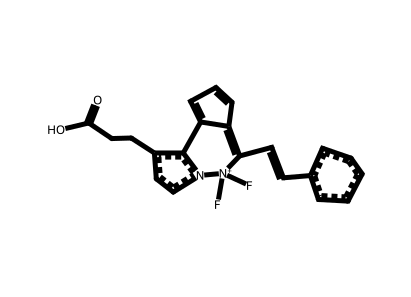 O=C(O)CCc1ccn2c1C1=CC=CC1=C(C=Cc1ccccc1)[N+]2(F)F